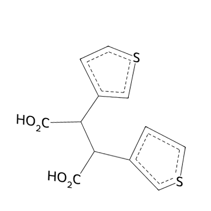 O=C(O)C(c1ccsc1)C(C(=O)O)c1ccsc1